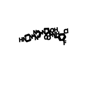 O=C(NCc1cc(F)cc(Cl)c1)C1(O)CCN(c2cnc(N3CCNCC3)nc2)C1=O